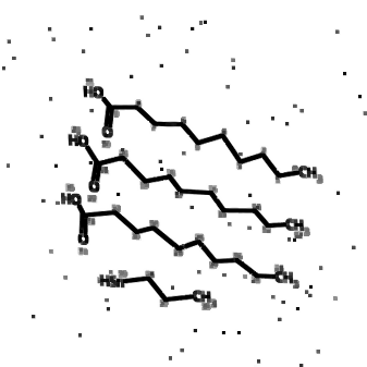 CCCCCCCCCC(=O)O.CCCCCCCCCC(=O)O.CCCCCCCCCC(=O)O.CC[CH2][SnH]